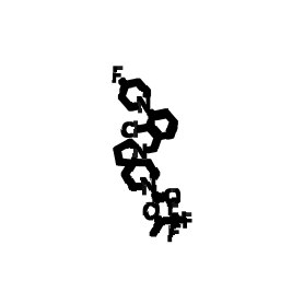 CC(OC(=O)N1CCC2(CCCN2Cc2cccc(N3CCC(F)CC3)c2Cl)CC1)C(F)(F)F